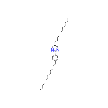 CCCCCCCCCCCCc1ccc(-c2ncc(CCCCCCCCCCC)cn2)cc1